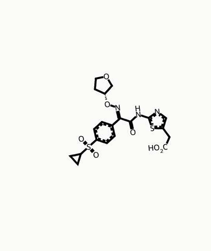 O=C(O)Cc1cnc(NC(=O)/C(=N/O[C@@H]2CCOC2)c2ccc(S(=O)(=O)C3CC3)cc2)s1